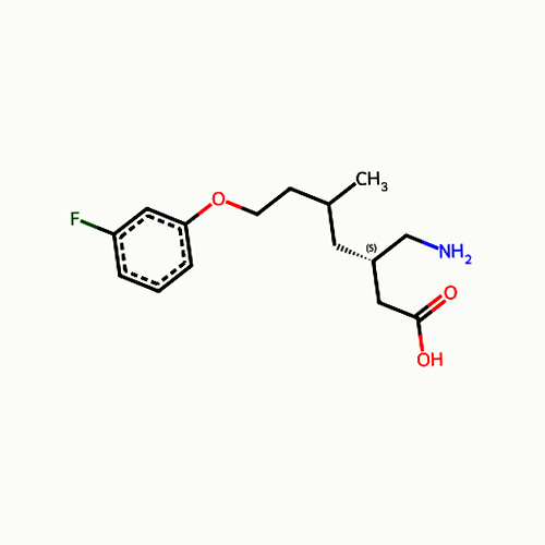 CC(CCOc1cccc(F)c1)C[C@H](CN)CC(=O)O